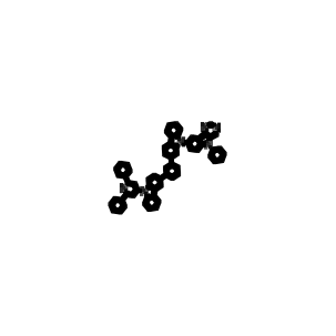 c1ccc(-c2cc(-n3c4ccccc4c4cc(-c5cccc(-c6ccc7c8ccccc8n(-c8ccc9c(c8)c8ncncc8n9-c8ccccc8)c7c6)c5)ccc43)cc(-c3ccccc3)n2)cc1